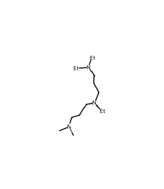 CCN(CC)CCCN(CC)CCCN(C)C